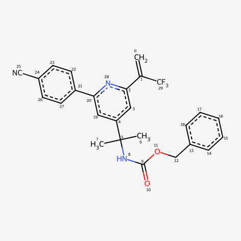 C=C(c1cc(C(C)(C)NC(=O)OCc2ccccc2)cc(-c2ccc(C#N)cc2)n1)C(F)(F)F